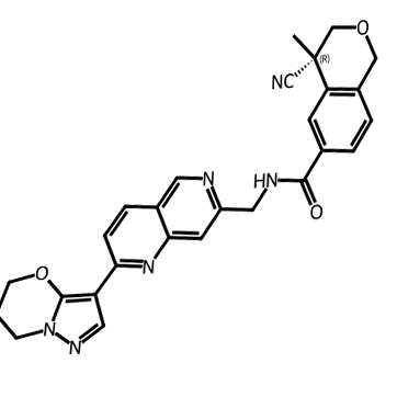 C[C@@]1(C#N)COCc2ccc(C(=O)NCc3cc4nc(-c5cnn6c5OCCC6)ccc4cn3)cc21